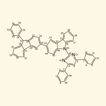 c1ccc(-c2cc(-c3ccccc3)nc(-n3c4ccccc4c4cc(-c5ccc6c(c5)-c5ccccc5C6c5ccccc5)ccc43)n2)cc1